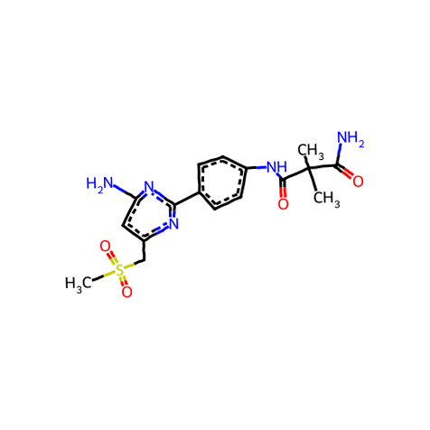 CC(C)(C(N)=O)C(=O)Nc1ccc(-c2nc(N)cc(CS(C)(=O)=O)n2)cc1